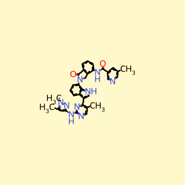 Cc1cncc(C(=O)Nc2cccc3c2CN(c2cccc4c(-c5nc(Nc6cc(C)n(C)n6)ncc5C)c[nH]c24)C3=O)c1